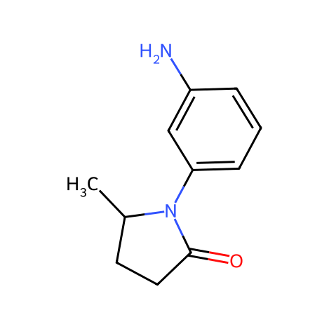 CC1CCC(=O)N1c1cccc(N)c1